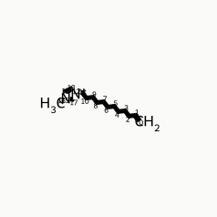 C=CCCCCCCCCCC[n+]1ccn(C)c1